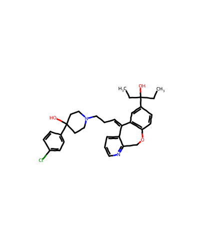 CCC(O)(CC)c1ccc2c(c1)/C(=C/CCN1CCC(O)(c3ccc(Cl)cc3)CC1)c1cccnc1CO2